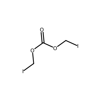 O=C(OCI)OCI